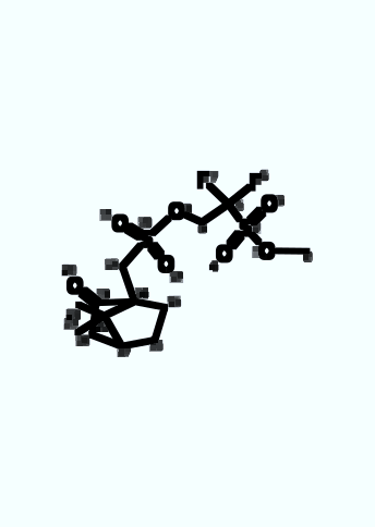 COS(=O)(=O)C(F)(F)COS(=O)(=O)CC12CCC(CC1=O)C2(C)C